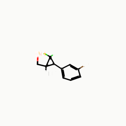 O=CC1(CO)C(c2cccc(Br)c2)C1(Cl)Cl